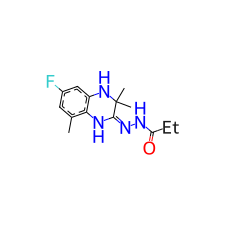 CCC(=O)N/N=C1/Nc2c(C)cc(F)cc2NC1(C)C